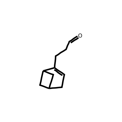 O=CCCC1=CCC2CC1C2